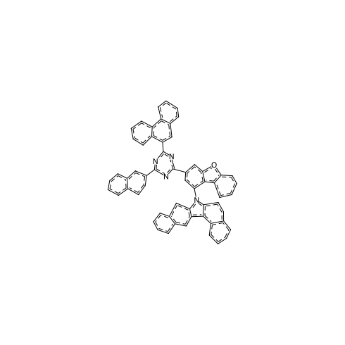 c1ccc2cc(-c3nc(-c4cc(-n5c6cc7ccccc7cc6c6c7ccccc7ccc65)c5c(c4)oc4ccccc45)nc(-c4cc5ccccc5c5ccccc45)n3)ccc2c1